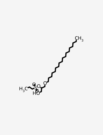 CCCCCCCCCCCCCCCCCCOCC(CO)OS(=O)(=O)CCC